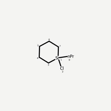 CCC[Si]1(Cl)CCCCC1